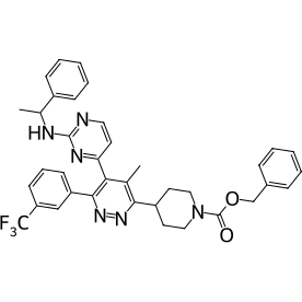 Cc1c(C2CCN(C(=O)OCc3ccccc3)CC2)nnc(-c2cccc(C(F)(F)F)c2)c1-c1ccnc(NC(C)c2ccccc2)n1